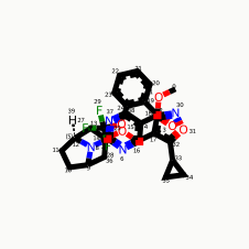 COC(=O)c1cnc(N2C3CC[C@H]2CC(OCc2c(-c4ccccc4OC(F)(F)F)noc2C2CC2)C3)nc1